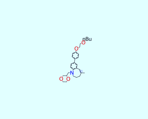 CCCCOCCOc1ccc(-c2ccc3c(c2)/C=C(/C)CCCN3CC2COCCO2)cc1